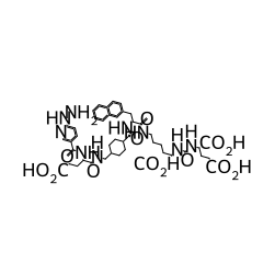 NNc1ccc(C(=O)NC(CCC(=O)O)C(=O)NCC2CCC(C(=O)NC(Cc3ccc4ccccc4c3)C(=O)NCCCCC(NC(=O)NC(CCC(=O)O)C(=O)O)C(=O)O)CC2)cn1